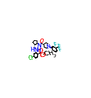 COC(=O)c1ccc(Cl)cc1NC[C@@H]1CCC[C@@H]1NC(=O)C1CCN(c2cccc(C(F)(F)F)c2)CC1